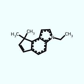 CCn1ccc2c3c(ccc21)C=CC3(C)C